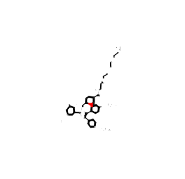 COc1ccc(-c2nc(-c3cc(C(F)(F)F)cc(C(F)(F)F)c3)n(Cc3ccc(C(=O)NCCOCCOCCOCCN)cc3)c2-c2ccc(OC)cc2)cc1